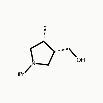 CC(C)N1C[C@@H](CO)[C@@H](C)C1